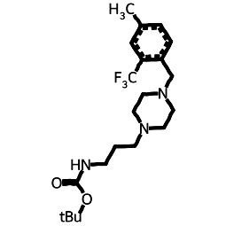 Cc1ccc(CN2CCN(CCCNC(=O)OC(C)(C)C)CC2)c(C(F)(F)F)c1